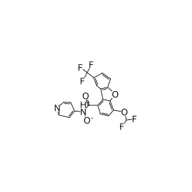 O=C(c1ccc(OC(F)F)c2oc3ccc(C(F)(F)F)cc3c12)[NH+]([O-])c1ccncc1